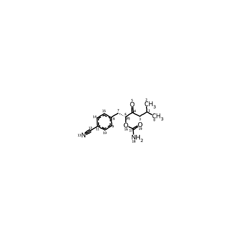 CC(C)CC(=O)[C@@H](Cc1ccc(C#N)cc1)OC(N)=O